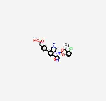 CC(OC(=O)Nc1cnoc1-c1ccc(-c2ccc(CC(=O)O)cc2)c2c1CCNC2)c1ccccc1Cl